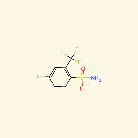 NS(=O)(=O)c1ccc(F)cc1C(F)(F)F